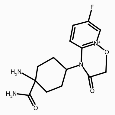 NC(=O)C1(N)CCC(N2C(=O)CO[n+]3cc(F)ccc32)CC1